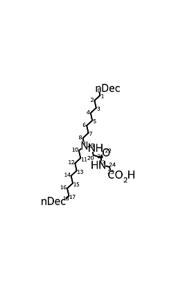 CCCCCCCCCCCCCCCCCCN(CCCCCCCCCCCCCCCCCC)NCC(=O)NCC(=O)O